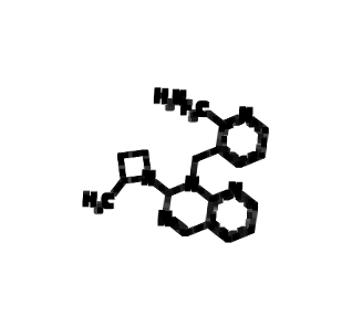 CC1CCN1C1N=Cc2cccnc2N1Cc1cccnc1C(F)(F)F.N